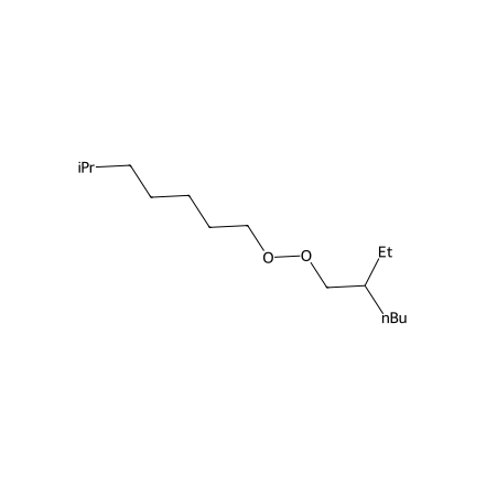 CCCCC(CC)COOCCCCCC(C)C